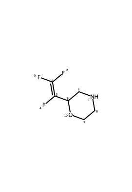 FC(F)=C(F)C1CNCCO1